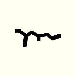 O=C(O)CNCC=S